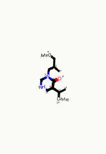 COCC(C)CN(CN)C(=O)C(C)C(C)OC